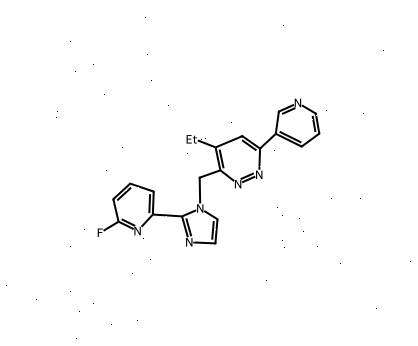 CCc1cc(-c2cccnc2)nnc1Cn1ccnc1-c1cccc(F)n1